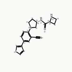 N#Cc1cc(-c2ccsc2)ccc1N1CC[C@H](NC(=O)[C@@H]2CCN2)C1